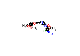 COc1ccc(COCCCCCN2CCC(CNC(=O)c3cc(Cl)c(N)cc3OC)CC2)cc1OC